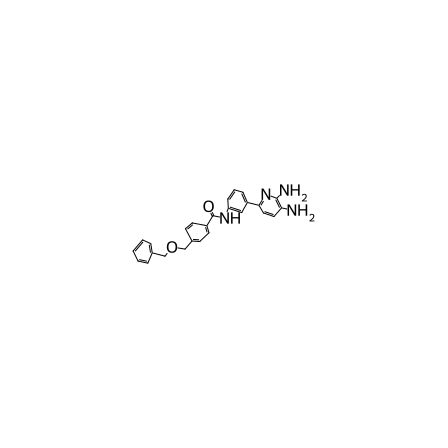 Nc1ccc(-c2cccc(NC(=O)c3ccc(COCc4ccccc4)cc3)c2)nc1N